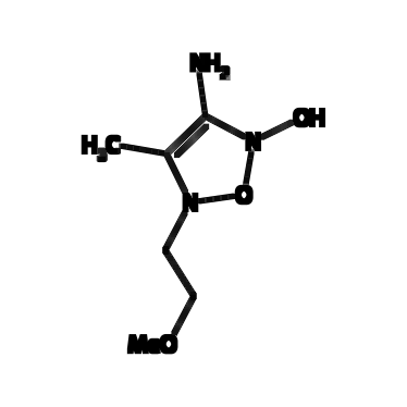 COCCN1ON(O)C(N)=C1C